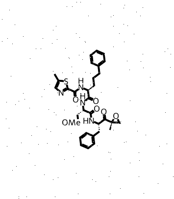 COC[C@H](NC(=O)[C@H](CCCc1ccccc1)NC(=O)c1ncc(C)s1)C(=O)N[C@@H](Cc1ccccc1)C(=O)[C@@]1(C)CO1